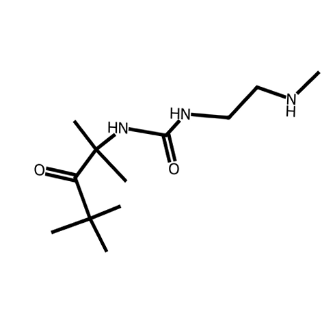 CNCCNC(=O)NC(C)(C)C(=O)C(C)(C)C